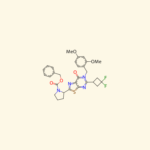 COc1ccc(Cn2c(C3CC(F)(F)C3)nc3sc(C4CCCN4C(=O)OCc4ccccc4)nc3c2=O)c(OC)c1